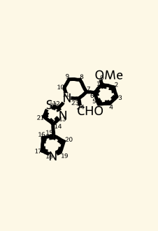 COc1ccccc1C1CCCN(c2nc(-c3ccncc3)cs2)C1C=O